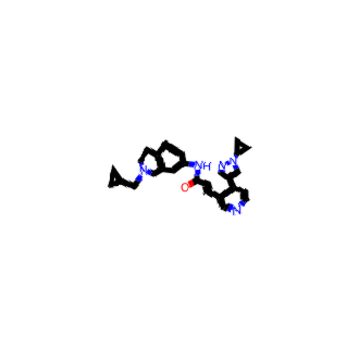 O=C(C=Cc1cnccc1-c1cnn(C2CC2)c1)Nc1ccc2c(c1)CN(CC1CC1)CC2